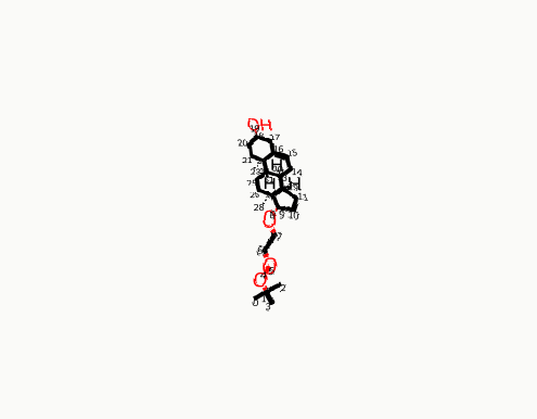 CC(C)(C)OOCCO[C@H]1CC[C@H]2[C@@H]3CC=C4C[C@@H](O)CC[C@]4(C)[C@H]3CC[C@]12C